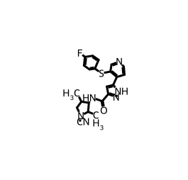 CC1CN(C#N)C(C)[C@@H]1NC(=O)c1cc(-c2ccncc2Sc2ccc(F)cc2)[nH]n1